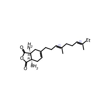 B[C@@]12CC=C(CC/C=C(\C)CC/C=C(\C)CC)C[C@]1(N)C(=O)OC2=O